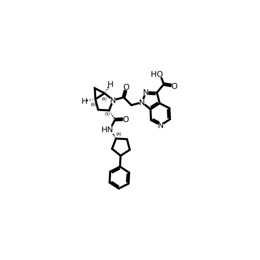 O=C(O)c1nn(CC(=O)N2[C@@H]3C[C@@H]3C[C@H]2C(=O)N[C@@H]2CCC(c3ccccc3)C2)c2cnccc12